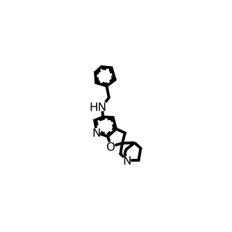 c1ccc(CNc2cnc3c(c2)CC2(CN4CCC2CC4)O3)cc1